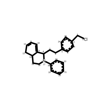 ClCc1ccc(CCC2C3=CC=CCC3CCN2c2ccccc2)cc1